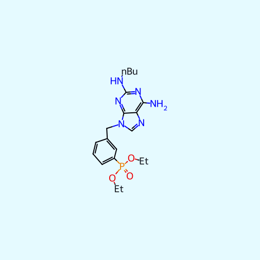 CCCCNc1nc(N)c2ncn(Cc3cccc(P(=O)(OCC)OCC)c3)c2n1